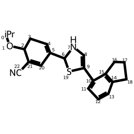 CC(C)OC1CC=C(C2NC=C(c3cccc4c3CCC4)S2)C=C1C#N